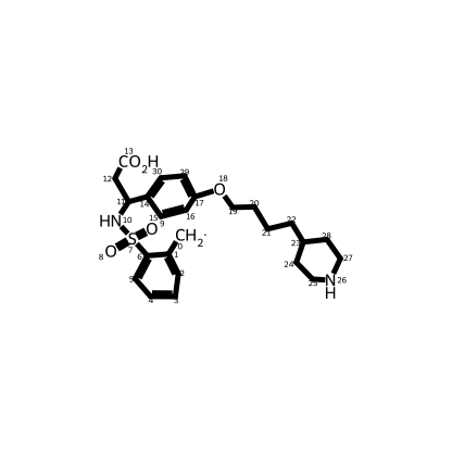 [CH2]c1ccccc1S(=O)(=O)NC(CC(=O)O)c1ccc(OCCCCC2CCNCC2)cc1